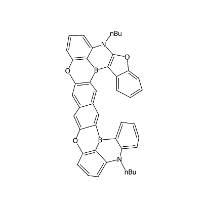 CCCCN1c2ccccc2B2c3cc4cc5c(cc4cc3Oc3cccc1c32)Oc1cccc2c1B5c1c(oc3ccccc13)N2CCCC